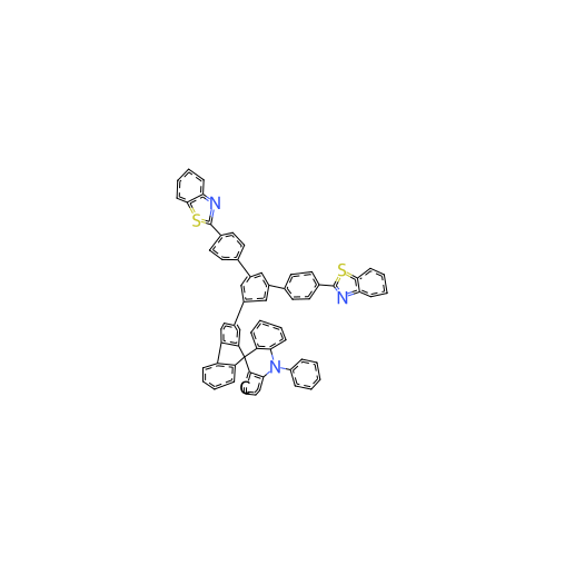 c1ccc(N2c3ccccc3C3(c4ccccc4-c4ccc(-c5cc(-c6ccc(-c7nc8ccccc8s7)cc6)cc(-c6ccc(-c7nc8ccccc8s7)cc6)c5)cc43)c3ccccc32)cc1